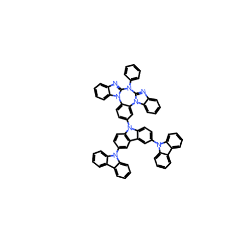 c1ccc(-n2c3nc4ccccc4n3c3ccc(-n4c5ccc(-n6c7ccccc7c7ccccc76)cc5c5cc(-n6c7ccccc7c7ccccc76)ccc54)cc3n3c4ccccc4nc23)cc1